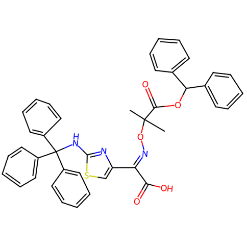 CC(C)(O/N=C(/C(=O)O)c1csc(NC(c2ccccc2)(c2ccccc2)c2ccccc2)n1)C(=O)OC(c1ccccc1)c1ccccc1